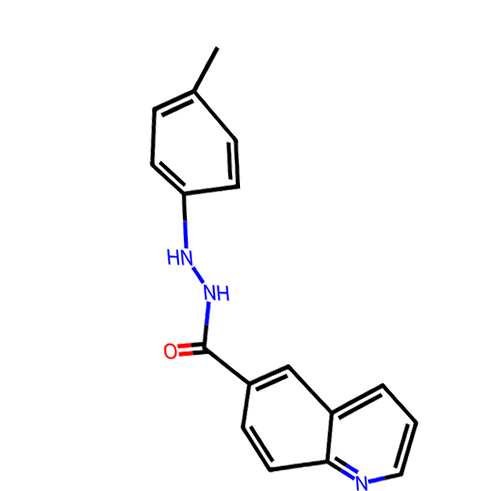 Cc1ccc(NNC(=O)c2ccc3ncccc3c2)cc1